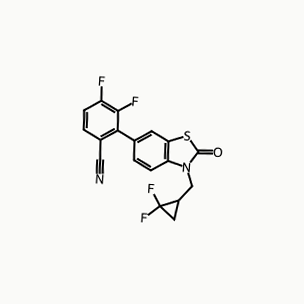 N#Cc1ccc(F)c(F)c1-c1ccc2c(c1)sc(=O)n2CC1CC1(F)F